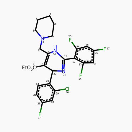 CCOC(=O)C1=C(CN2CCCCC2)NC(c2c(F)cc(F)cc2F)=NC1c1ccc(F)cc1Cl